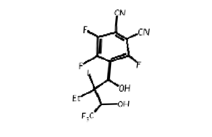 CCC(I)(C(O)c1c(F)c(F)c(C#N)c(C#N)c1F)C(O)C(F)(F)F